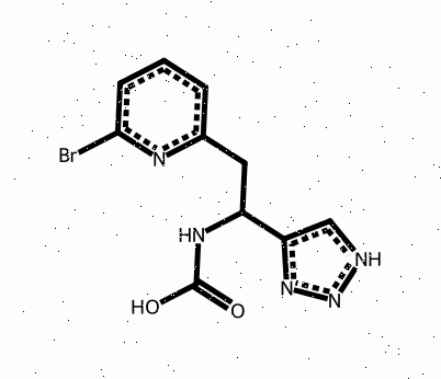 O=C(O)NC(Cc1cccc(Br)n1)c1c[nH]nn1